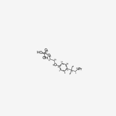 CC(C)CC(C)(C)c1ccc(OCCOP(=O)(O)O)cc1